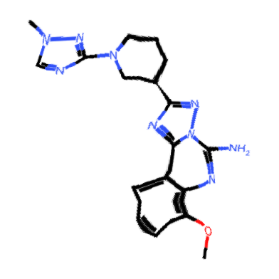 COc1cccc2c1nc(N)n1nc([C@@H]3CCCN(c4ncn(C)n4)C3)nc21